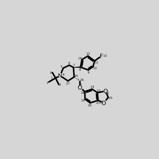 CC(C)(C)N1CC[C@@H](c2ccc(F)cc2)[C@H](COc2ccc3c(c2)OCO3)C1